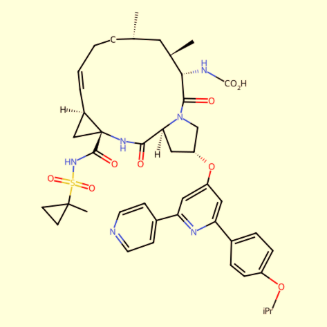 CC(C)Oc1ccc(-c2cc(O[C@@H]3C[C@H]4C(=O)N[C@]5(C(=O)NS(=O)(=O)C6(C)CC6)C[C@H]5C=CCC[C@H](C)C[C@@H](C)[C@H](NC(=O)O)C(=O)N4C3)cc(-c3ccncc3)n2)cc1